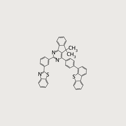 CC1(C)c2ccccc2-c2nc(-c3cccc(-c4nc5ccccc5s4)c3)nc(-c3ccc(-c4cccc5c4sc4ccccc45)cc3)c21